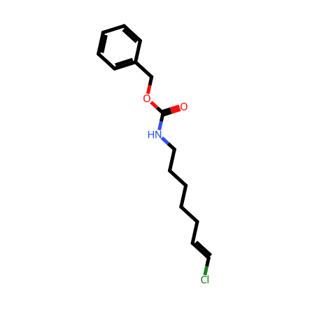 O=C(NCCCCC/C=C/Cl)OCc1ccccc1